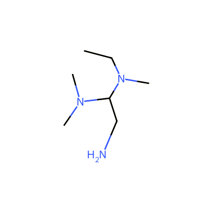 CCN(C)C(CN)N(C)C